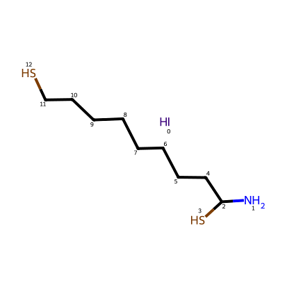 I.NC(S)CCCCCCCCS